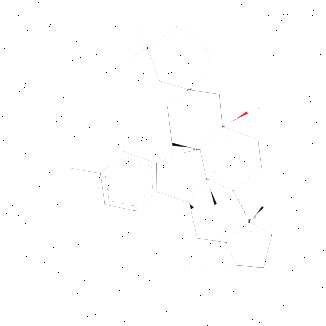 CC1(C)COOC2(CC[C@@]34Cc5cc(O)ccc5[C@H]5C[C@]6(C)[C@@H](O)CC[C@H]6[C@H](CC[C@@]3(O)C2)[C@H]54)C1